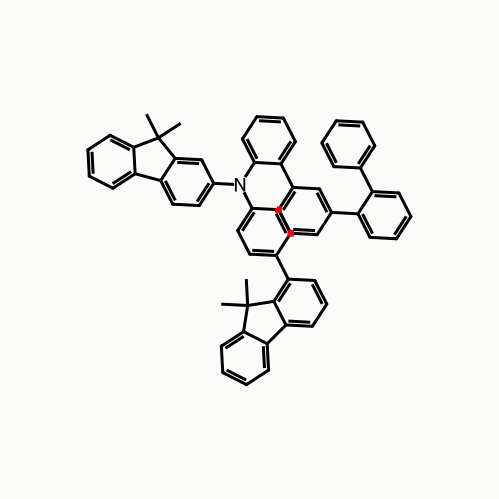 CC1(C)c2ccccc2-c2ccc(N(c3ccc(-c4cccc5c4C(C)(C)c4ccccc4-5)cc3)c3ccccc3-c3cccc(-c4ccccc4-c4ccccc4)c3)cc21